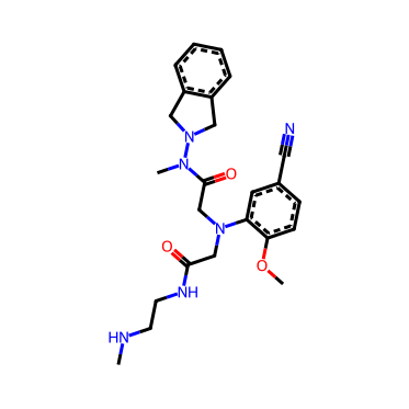 CNCCNC(=O)CN(CC(=O)N(C)N1Cc2ccccc2C1)c1cc(C#N)ccc1OC